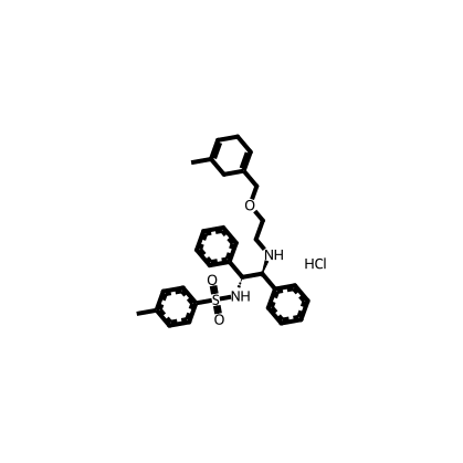 CC1=CCC=C(COCCN[C@@H](c2ccccc2)[C@H](NS(=O)(=O)c2ccc(C)cc2)c2ccccc2)C1.Cl